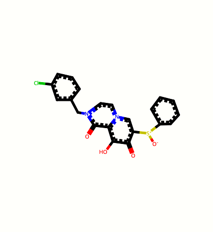 O=c1c([S+]([O-])c2ccccc2)cn2ccn(Cc3cccc(Cl)c3)c(=O)c2c1O